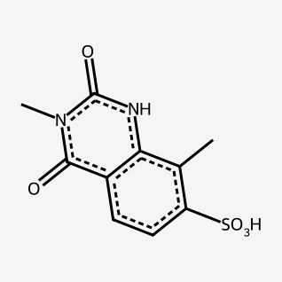 Cc1c(S(=O)(=O)O)ccc2c(=O)n(C)c(=O)[nH]c12